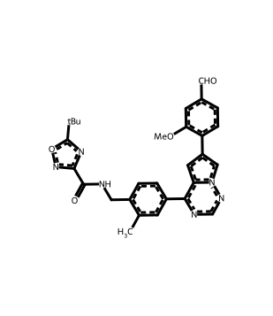 COc1cc(C=O)ccc1-c1cc2c(-c3ccc(CNC(=O)c4noc(C(C)(C)C)n4)c(C)c3)ncnn2c1